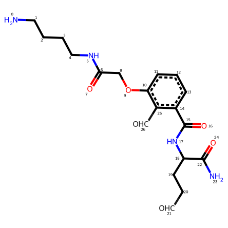 NCCCCNC(=O)COc1cccc(C(=O)NC(CCC=O)C(N)=O)c1C=O